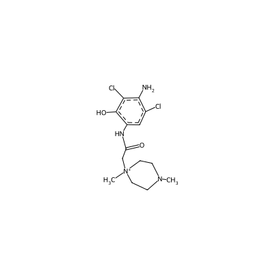 CN1CC[N+](C)(CC(=O)Nc2cc(Cl)c(N)c(Cl)c2O)CC1